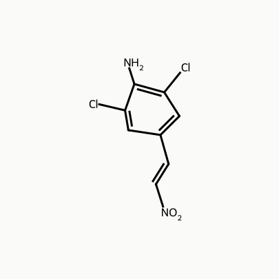 Nc1c(Cl)cc(C=C[N+](=O)[O-])cc1Cl